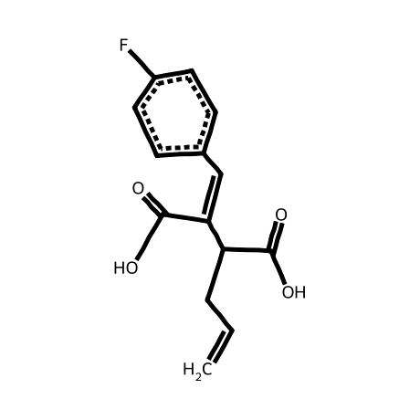 C=CCC(C(=O)O)C(=Cc1ccc(F)cc1)C(=O)O